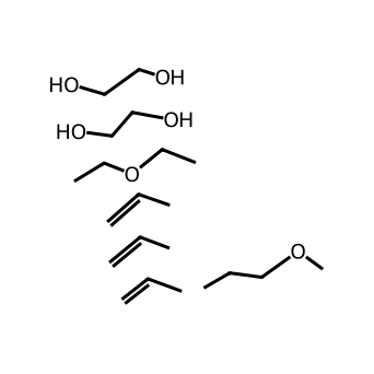 C=CC.C=CC.C=CC.CCCOC.CCOCC.OCCO.OCCO